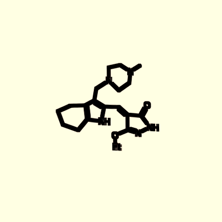 CCOC1=NNC(=O)C1=Cc1[nH]c2c(c1CN1CCN(C)CC1)CCCC2